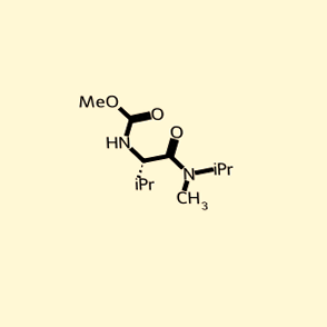 COC(=O)N[C@H](C(=O)N(C)C(C)C)C(C)C